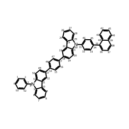 c1ccc(-n2c3ccccc3c3cc(-c4ccc(-c5ccc6c(c5)c5ccccc5n6-c5ccc(-c6cccc7ccccc67)cc5)cc4)ccc32)cc1